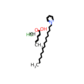 C/C=C/C=C/C(=O)O.CCCCCCCCCCCCCCCC[n+]1ccccc1.Cl.[KH]